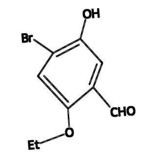 CCOc1cc(Br)c(O)cc1C=O